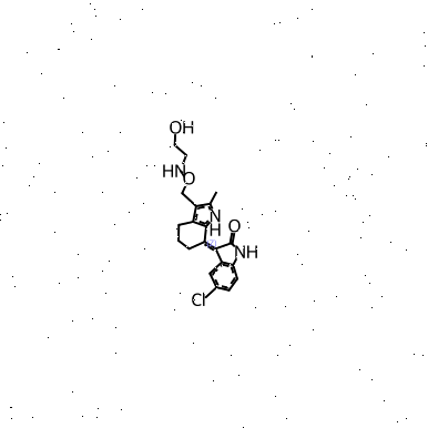 Cc1[nH]c2c(c1CONCCO)CCC/C2=C1/C(=O)Nc2ccc(Cl)cc21